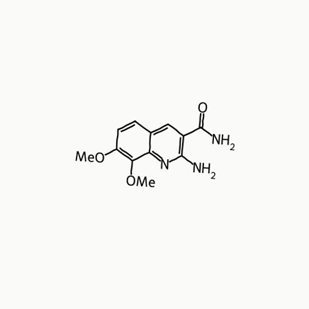 COc1ccc2cc(C(N)=O)c(N)nc2c1OC